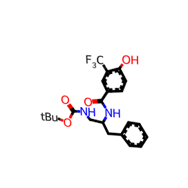 CC(C)(C)OC(=O)NCC(Cc1ccccc1)NC(=O)c1ccc(O)c(C(F)(F)F)c1